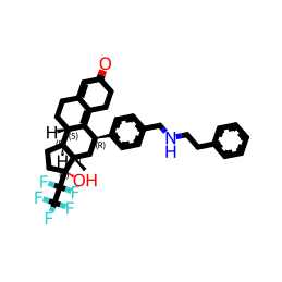 C[C@]12C[C@H](c3ccc(CNCCc4ccccc4)cc3)C3=C4CCC(=O)C=C4CC[C@H]3[C@@H]1CC[C@]2(O)C(F)(F)C(F)(F)F